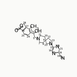 Cc1c(C(O)CN2CCC3(CC2)CCN(c2cnc(C#N)cn2)C3)ccc2c1COC2=O